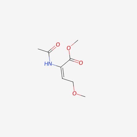 COC/C=C(/NC(C)=O)C(=O)OC